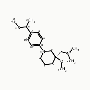 CO[C@@]1(CN(C)C)CCCN(c2ccc(C(C)SS)nc2)C1